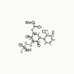 COC(=O)Cn1cc(-c2cccc(F)c2Cl)c(=O)n(CCS(C)(=N)=O)c1=O